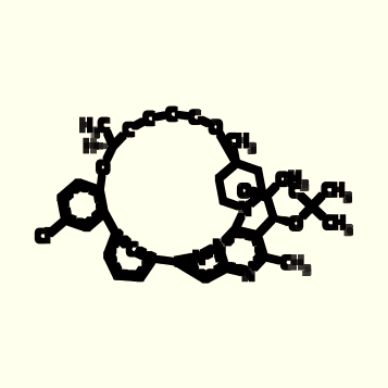 Cc1nc2cc3nn2c(c1[C@H](OC(C)(C)C)C(=O)O)N1CCC(C)(CC1)OCCCC[C@H](C)Oc1ccc(Cl)cc1-c1cccc-3c1